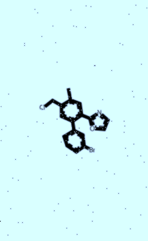 Cc1cc(-c2ncco2)c(-c2cccc(Br)c2)cc1CCl